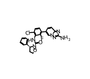 Nc1nc2ccc(-c3ccc(Cl)c(NC(=O)N4OCC[C@H]4c4ccccc4)c3F)cn2n1